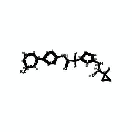 CC(C)(C(=O)Nc1ccc(-c2cncc(C(F)(F)F)n2)cc1)c1csc(N[S+]([O-])C2(C)CC2)n1